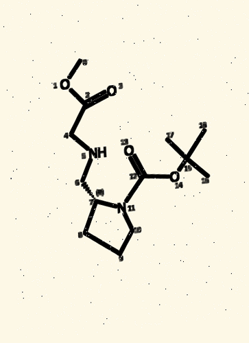 COC(=O)CNC[C@H]1CCCN1C(=O)OC(C)(C)C